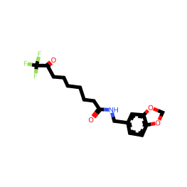 O=C(CCCCCCC(=O)C(F)(F)F)NCc1ccc2c(c1)OCO2